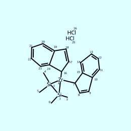 C[Si]1(C)[Si](C)(C)[Zr]1([CH]1C=Cc2ccccc21)[CH]1C=Cc2ccccc21.Cl.Cl